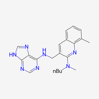 CCCCN(C)c1nc2c(C)cccc2cc1CNc1ncnc2[nH]cnc12